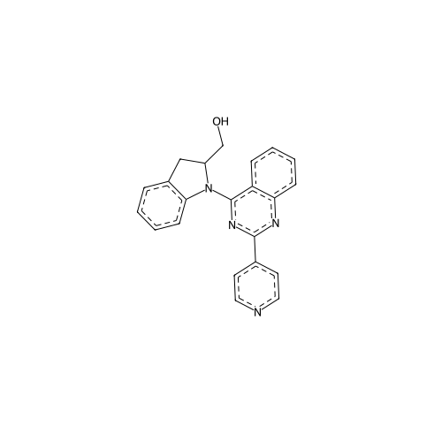 OCC1Cc2ccccc2N1c1nc(-c2ccncc2)nc2ccccc12